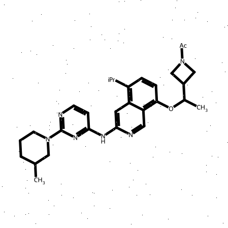 CC(=O)N1CC(C(C)Oc2ccc(C(C)C)c3cc(Nc4ccnc(N5CCCC(C)C5)n4)ncc23)C1